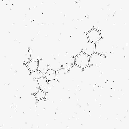 O=C(c1ccccc1)c1ccc(OC[C@@H]2CO[C@@](Cn3ccnc3)(c3ccc(Cl)s3)O2)cc1